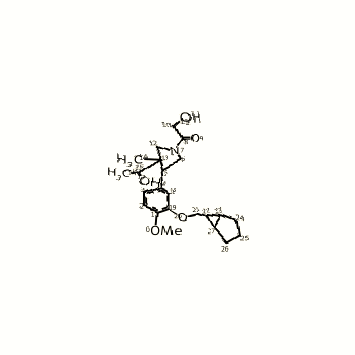 COc1ccc(C2CN(C(=O)CO)CC2(C)[C@H](C)O)cc1OCC1C2CCCC21